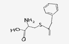 C=C(Cc1ccccc1)SCC(N)C(=O)O